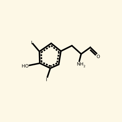 NC([C]=O)Cc1cc(I)c(O)c(I)c1